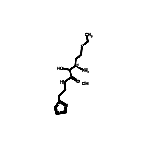 CCSCC[C@@H](N)C(O)C(=O)NCCc1cccs1.Cl